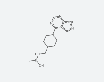 CB(O)NCC1CCN(c2ncnc3[nH]ncc23)CC1